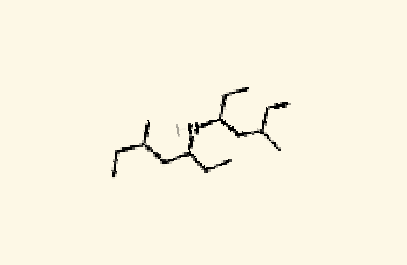 CCC(C)CC(CC)NC(CC)CC(C)CC